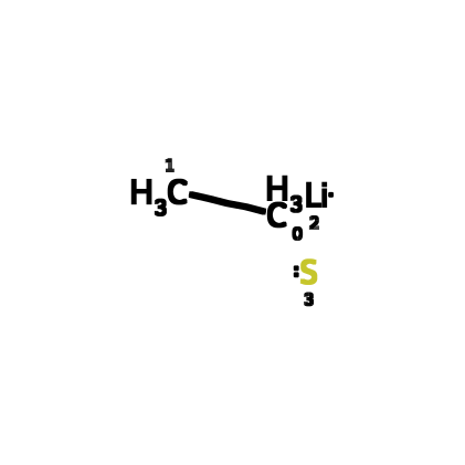 CC.[Li].[S]